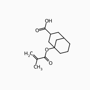 C=C(C)C(=O)OC12CCCC(CC(C(=O)O)C1)C2